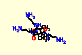 CC(C(=O)NCCCN)C(C)(C(=O)NCCCN)C(C)(C)C(=O)NCCCN